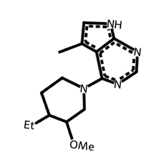 CCC1CCN(c2ncnc3[nH]cc(C)c23)CC1OC